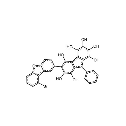 Oc1c(O)c(O)c2c(c1O)c1c(O)c(-c3ccc4oc5cccc(Br)c5c4c3)c(O)c(O)c1n2-c1ccccc1